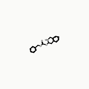 O=C(OCc1ccccc1)OC1Cc2ccccc2CN1